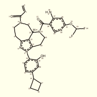 C=CC(=O)N1CCc2nn(-c3ccc(C4CCC4)cc3O)c3c2[C@H](C1)N(C(=O)c1cnc(OC(F)F)cc1N)CC3